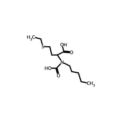 CCCCCN(C(=O)O)C(CCSCC)C(=O)O